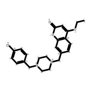 CCOc1cc(=O)oc2cc(CN3CCN(Cc4ccc(Cl)cc4)CC3)ccc12